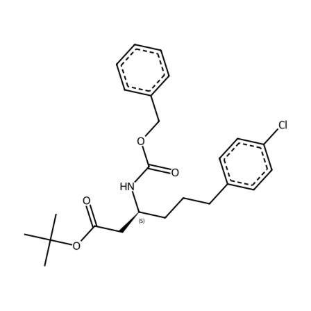 CC(C)(C)OC(=O)C[C@H](CCCc1ccc(Cl)cc1)NC(=O)OCc1ccccc1